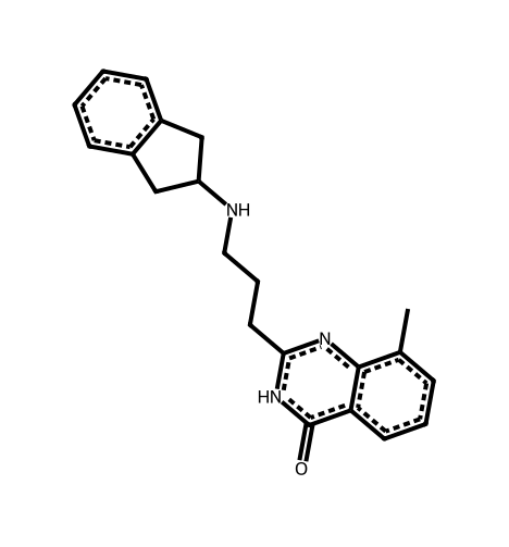 Cc1cccc2c(=O)[nH]c(CCCNC3Cc4ccccc4C3)nc12